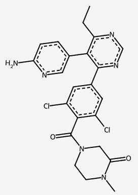 CCc1ncnc(-c2cc(Cl)c(C(=O)N3CCN(C)C(=O)C3)c(Cl)c2)c1-c1ccc(N)nc1